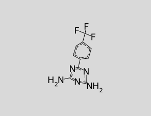 Nc1nc(N)nc(-c2ccc(C(F)(F)F)cc2)n1